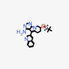 CC(C)(C)[Si](C)(C)OC1CCc2c(-c3cnc4ccccc4c3)c3c(N)ncnc3n2C1